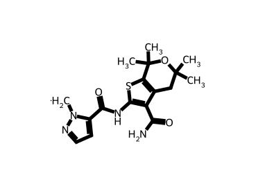 [CH2]n1nccc1C(=O)Nc1sc2c(c1C(N)=O)CC(C)(C)OC2(C)C